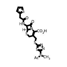 CC(=O)N(C)c1nnc(SCC2=C(C(=O)O)N3C(=O)C(NC(=O)Cc4cccs4)[C@@H]3SC2)s1